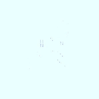 CC(Cc1ccccc1)C(=O)Nc1cc(-n2cccn2)nc(-c2ccco2)n1